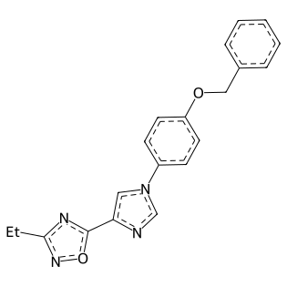 CCc1noc(-c2cn(-c3ccc(OCc4ccccc4)cc3)cn2)n1